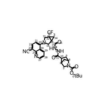 CC(C)(C)OC(=O)N1CC2CC1CC2C(=O)NNC(=O)[C@]12CN(c3ccc(C#N)c4ncccc34)C[C@@]1(C(F)(F)F)C2